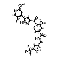 COc1cc(-c2cc(C(=O)N3CC[C@H](C(=O)NCC45CC(C(F)(F)F)(CO4)C5)CC34CC4)n[nH]2)c(F)cn1